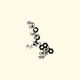 Cc1nc(Oc2ccc(N(C(=O)OC(C)(C)C)S(=O)(=O)c3ccccc3Cl)c3ccccc23)c(-c2ccnc(N[C@H]3CCCN(C(=O)OC(C)(C)C)C3)n2)s1